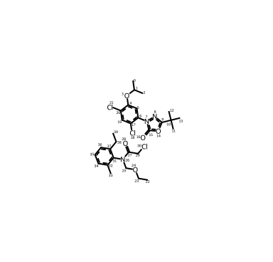 CC(C)Oc1cc(-n2nc(C(C)(C)C)oc2=O)c(Cl)cc1Cl.CCOCN(C(=O)CCl)c1c(C)cccc1CC